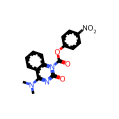 CN(C)c1nc(=O)n(C(=O)Oc2ccc([N+](=O)[O-])cc2)c2ccccc12